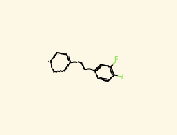 Fc1ccc(CCC2CC[CH]CC2)cc1F